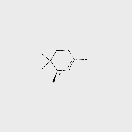 CCC1=C[C@@H](C)C(C)(C)CC1